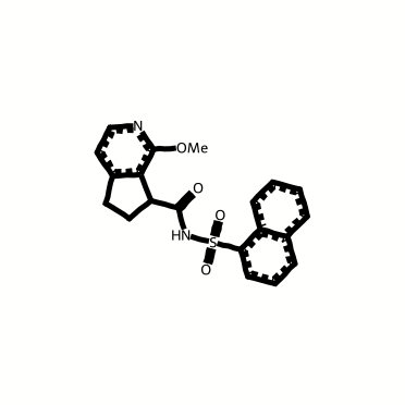 COc1nccc2c1C(C(=O)NS(=O)(=O)c1cccc3ccccc13)CC2